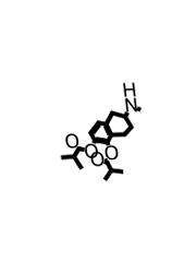 CNC1CCc2c(ccc(OC(=O)C(C)C)c2OC(=O)C(C)C)C1